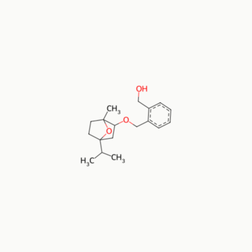 CC(C)C12CCC(C)(O1)C(OCc1ccccc1CO)C2